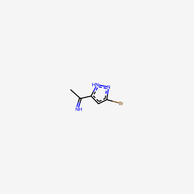 CC(=N)c1cc(Br)n[nH]1